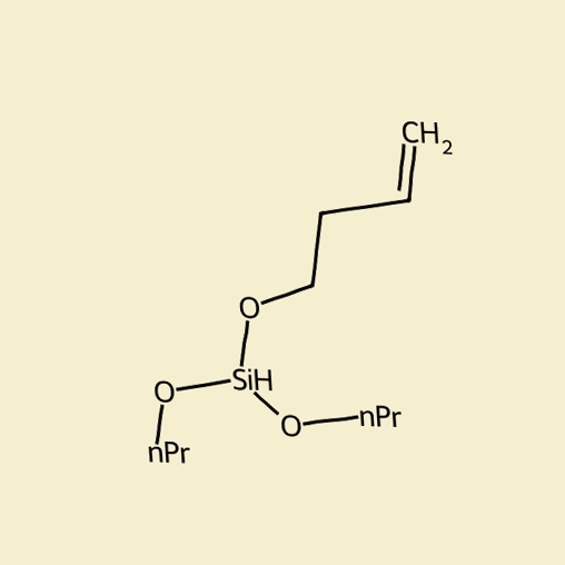 C=CCCO[SiH](OCCC)OCCC